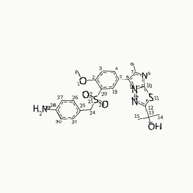 COc1ccc(-c2c(C)nc3sc(C(C)(C)O)nn23)cc1S(=O)(=O)Cc1ccc(N)cc1